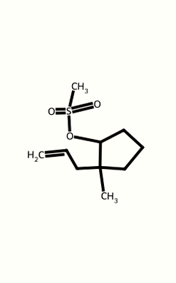 C=CCC1(C)CCCC1OS(C)(=O)=O